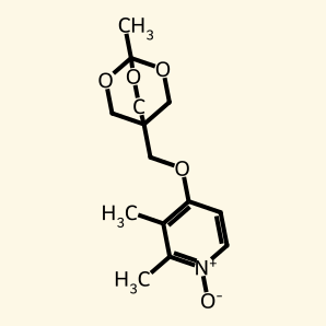 Cc1c(OCC23COC(C)(OC2)OC3)cc[n+]([O-])c1C